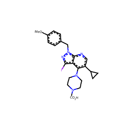 COc1ccc(Cn2nc(I)c3c(N4CCN(C(=O)O)CC4)c(C4CC4)cnc32)cc1